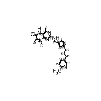 Cc1nc(NCc2cnn(CCCc3ccc(C(F)(F)F)nc3)c2)nc2c1NC(=O)C(C)N2C